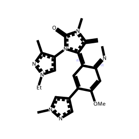 C=c1/c(=C2/C=C(c3cnn(C)c3)C(OC)=C/C2=N/C)n(-c2cn(CC)nc2C)c(=O)n1C